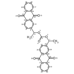 CC(OC(=O)OC(C)c1ccc2c(c1)C(=O)c1ccccc1C2=O)c1ccc2c(c1)C(=O)c1ccccc1C2=O